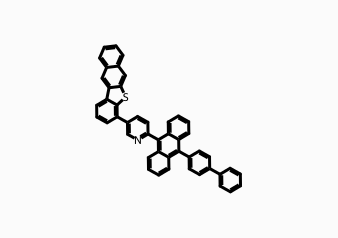 c1ccc(-c2ccc(-c3c4ccccc4c(-c4ccc(-c5cccc6c5sc5cc7ccccc7cc56)cn4)c4ccccc34)cc2)cc1